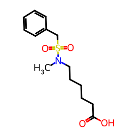 CN(CCCCCC(=O)O)S(=O)(=O)Cc1ccccc1